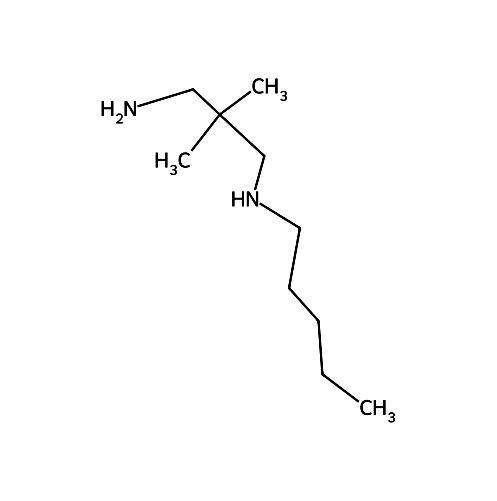 CCCCCNCC(C)(C)CN